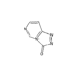 O=C1N=Nc2ccnc[n+]21